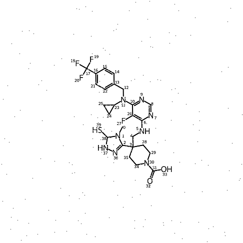 CN1C(C2(CNc3ncnc(N(Cc4ccc(C(F)(F)F)cc4)C4CC4)c3F)CCN(C(=O)O)CC2)=NNC1S